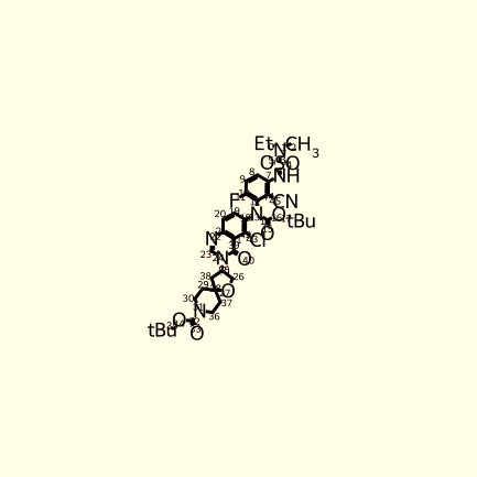 CCN(C)S(=O)(=O)Nc1ccc(F)c(N(C(=O)OC(C)(C)C)c2ccc3ncn([C@H]4COC5(CCN(C(=O)OC(C)(C)C)CC5)C4)c(=O)c3c2Cl)c1C#N